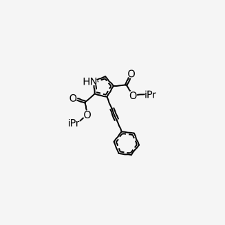 CC(C)OC(=O)c1c[nH]c(C(=O)OC(C)C)c1C#Cc1ccccc1